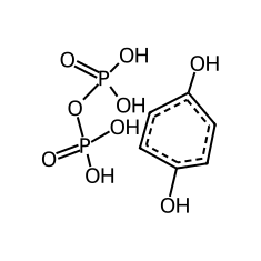 O=P(O)(O)OP(=O)(O)O.Oc1ccc(O)cc1